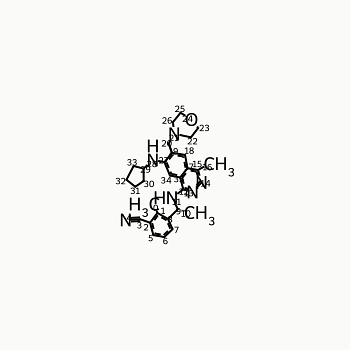 Cc1c(C#N)cccc1[C@@H](C)Nc1nnc(C)c2cc(CN3CCOCC3)c(NC3CCCC3)cc12